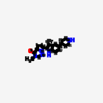 CC(C)c1c(-c2ccc3c(=O)n(C)cnn23)[nH]c2ccc(C3CCNCC3)cc12